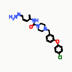 C=C(/C=C\C=N/N)NC(=O)N1CCN(Cc2cccc(Oc3ccc(Cl)cc3)c2)CC1